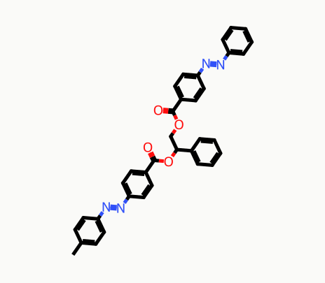 Cc1ccc(N=Nc2ccc(C(=O)OC(COC(=O)c3ccc(N=Nc4ccccc4)cc3)c3ccccc3)cc2)cc1